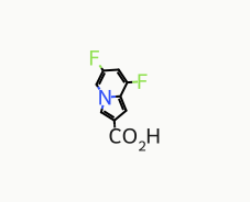 O=C(O)c1cc2c(F)cc(F)cn2c1